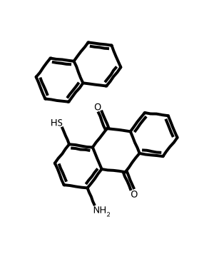 Nc1ccc(S)c2c1C(=O)c1ccccc1C2=O.c1ccc2ccccc2c1